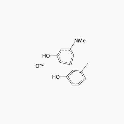 C=O.CNc1cccc(O)c1.Cc1cccc(O)c1